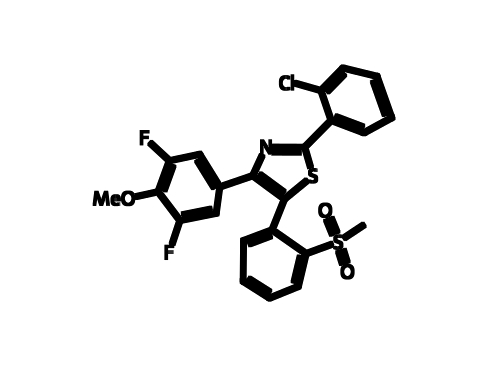 COc1c(F)cc(-c2nc(-c3ccccc3Cl)sc2-c2ccccc2S(C)(=O)=O)cc1F